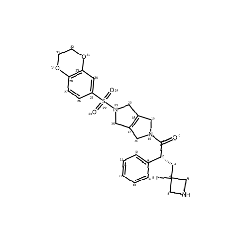 O=C([C@H](CC1(F)CNC1)c1ccccc1)N1CC2=C(C1)CN(S(=O)(=O)c1ccc3c(c1)OCCO3)C2